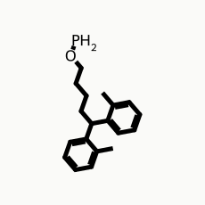 Cc1ccccc1C(CCCCOP)c1ccccc1C